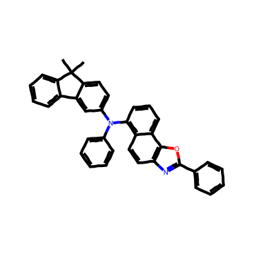 CC1(C)c2ccccc2-c2cc(N(c3ccccc3)c3cccc4c3ccc3nc(-c5ccccc5)oc34)ccc21